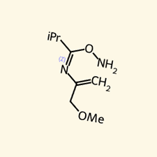 C=C(COC)/N=C(\ON)C(C)C